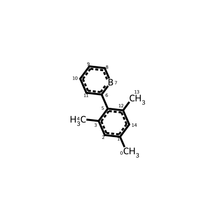 Cc1cc(C)c(-c2bcccc2)c(C)c1